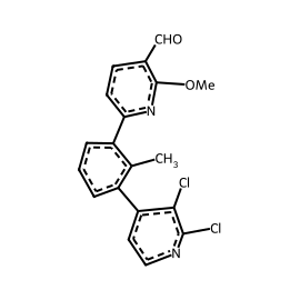 COc1nc(-c2cccc(-c3ccnc(Cl)c3Cl)c2C)ccc1C=O